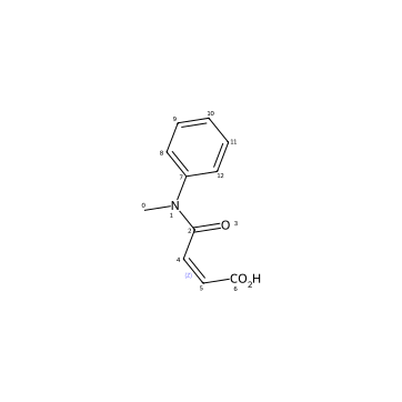 CN(C(=O)/C=C\C(=O)O)c1ccccc1